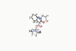 CN1[C@@H]2CC[C@H]1C[C@H](OC(=O)c1c3n(c4ccccc14)CCCO3)C2